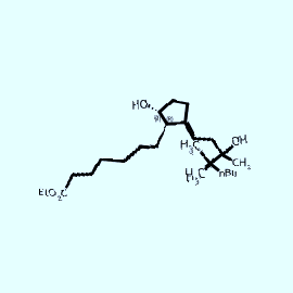 CCCCC(C)(C)C(C)(O)CC=C1CC[C@@H](O)[C@@H]1CCCCCCC(=O)OCC